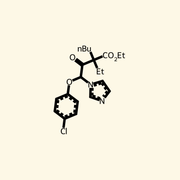 CCCCC(CC)(C(=O)OCC)C(=O)C(Oc1ccc(Cl)cc1)n1ccnc1